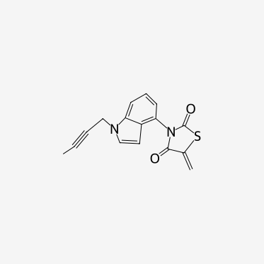 C=C1SC(=O)N(c2cccc3c2ccn3CC#CC)C1=O